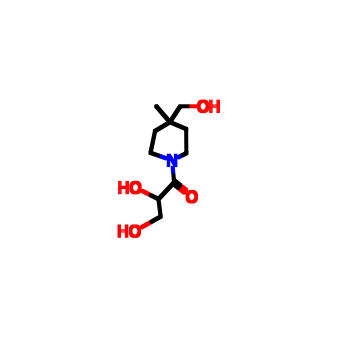 CC1(CO)CCN(C(=O)C(O)CO)CC1